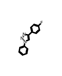 Fc1ccc(-c2cn(-c3ccccc3)nn2)cc1